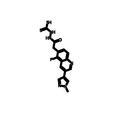 Cn1cc(-c2cnc3ccc(CC(=O)NNC(=S)S)c(F)c3c2)cn1